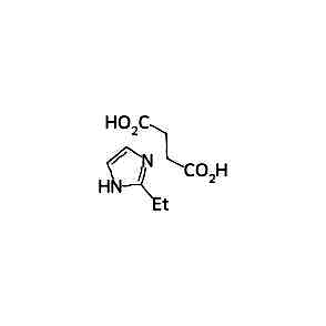 CCc1ncc[nH]1.O=C(O)CCC(=O)O